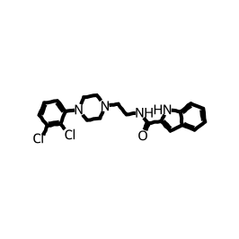 O=C(NCCN1CCN(c2cccc(Cl)c2Cl)CC1)c1cc2ccccc2[nH]1